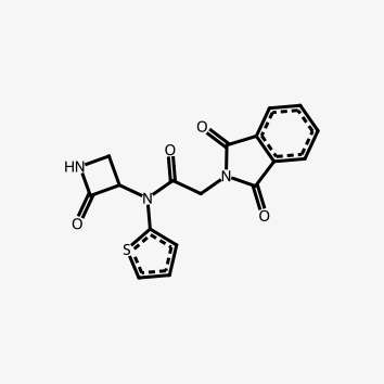 O=C1NCC1N(C(=O)CN1C(=O)c2ccccc2C1=O)c1cccs1